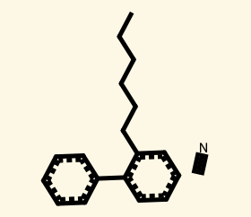 C#N.CCCCCCc1ccccc1-c1ccccc1